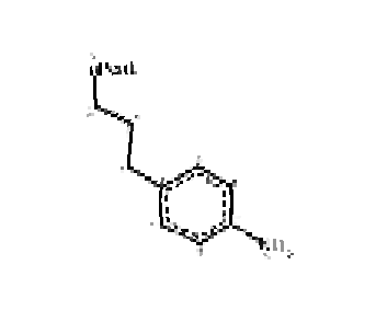 CCCCCCCCc1ccc(N)cc1